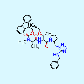 C#CCO[C@H](C)[C@H](NC(=O)[C@H](C)N(C)C(=O)OCC1c2ccccc2-c2ccccc21)C(=O)N1CCC[C@H]1Cn1nnnc1NCc1ccccc1